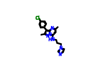 Cc1cc(NCCCn2ccnc2)n2nc(C)c(-c3ccc(Cl)cc3)c2n1